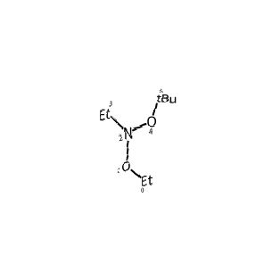 CCON(CC)OC(C)(C)C